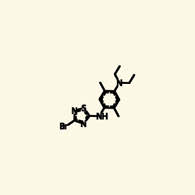 CCN(CC)c1cc(C)c(Nc2nc(Br)ns2)cc1C